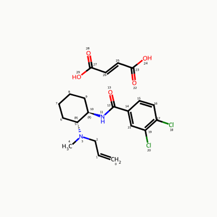 C=CCN(C)[C@@H]1CCCC[C@H]1NC(=O)c1ccc(Cl)c(Cl)c1.O=C(O)C=CC(=O)O